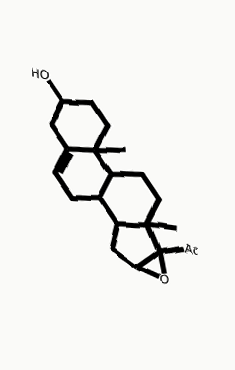 CC(=O)C12OC1CC1C3CC=C4CC(O)CCC4(C)C3CCC12C